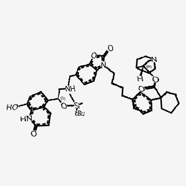 CC(C)(C)[Si](C)(C)O[C@H](CNCc1ccc2c(c1)oc(=O)n2CCCCc1cccc(C2(C(=O)O[C@H]3CN4CCC3CC4)CCCCC2)c1)c1ccc(O)c2[nH]c(=O)ccc12